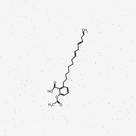 C=CCC=CCC=CCCCCCCCc1cccc(OC(C)=O)c1C(=O)O